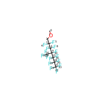 COCC(F)(F)C(F)(F)C(F)(C(F)(F)F)C(F)(F)C(F)(F)C(F)(F)F